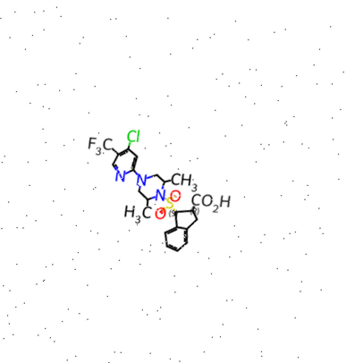 CC1CN(c2cc(Cl)c(C(F)(F)F)cn2)CC(C)N1S(=O)(=O)[C@@H]1c2ccccc2C[C@@H]1C(=O)O